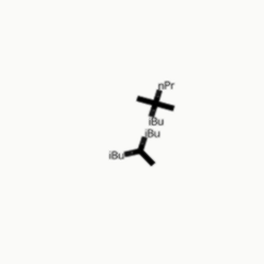 CCC(C)C(C)C(C)CC.CCCC(C)(C)C(C)CC